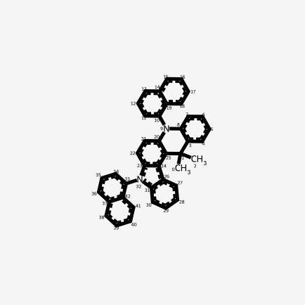 CC1(C)c2ccccc2N(c2cccc3ccccc23)c2ccc3c(c21)c1ccccc1n3-c1cccc2ccccc12